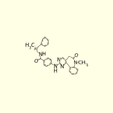 C[C@@H](CNC(=O)c1ccc(Nc2ncc3c(n2)-c2ccccc2N(C)C(=O)C3)cc1)c1ccccc1